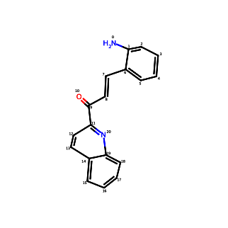 Nc1ccccc1C=CC(=O)c1ccc2ccccc2n1